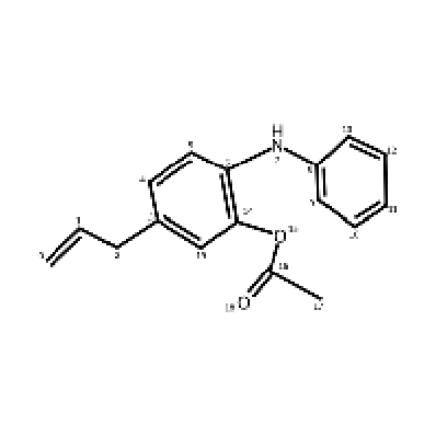 C=CCc1ccc(Nc2ccccc2)c(OC(C)=O)c1